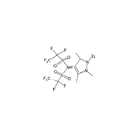 CCN1C(C)C=C(C)N1C.O=S(=O)(NS(=O)(=O)C(F)(F)C(F)(F)F)C(F)(F)C(F)(F)F